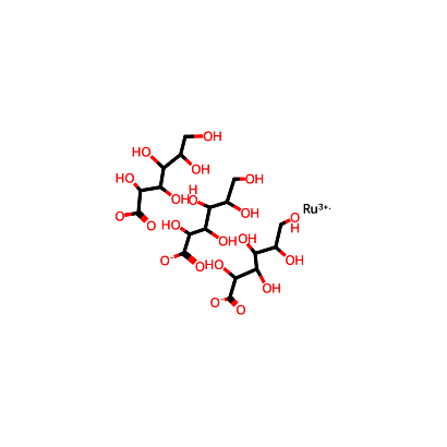 O=C([O-])C(O)C(O)C(O)C(O)CO.O=C([O-])C(O)C(O)C(O)C(O)CO.O=C([O-])C(O)C(O)C(O)C(O)CO.[Ru+3]